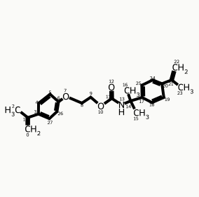 C=C(C)c1ccc(OCCOC(=O)NC(C)(C)c2ccc(C(=C)C)cc2)cc1